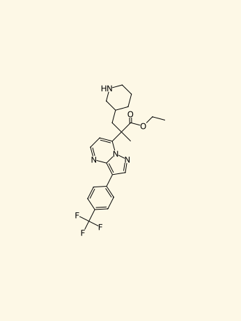 CCOC(=O)C(C)(CC1CCCNC1)c1ccnc2c(-c3ccc(C(F)(F)F)cc3)cnn12